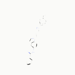 CCC1CC2CC(C1)C(NCCCn1ccc3cc(NC(=N)c4cccs4)ccc31)C2